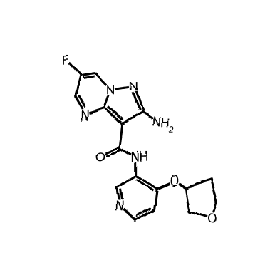 Nc1nn2cc(F)cnc2c1C(=O)Nc1cnccc1OC1CCOC1